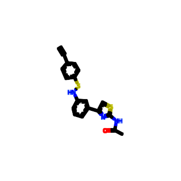 C#Cc1ccc(SNc2cccc(-c3csc(NC(C)=O)n3)c2)cc1